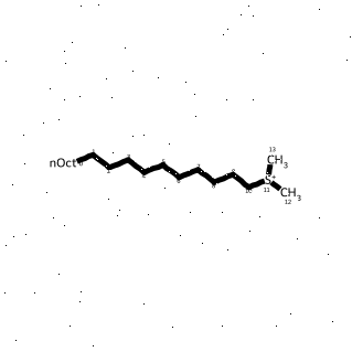 CCCCCCCCCCCCCCCCCC[S+](C)C